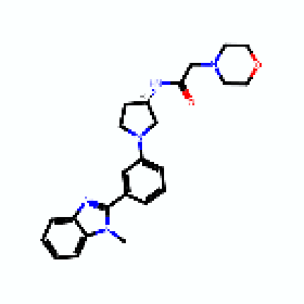 Cn1c(-c2cccc(N3CC[C@H](NC(=O)CN4CCOCC4)C3)c2)nc2ccccc21